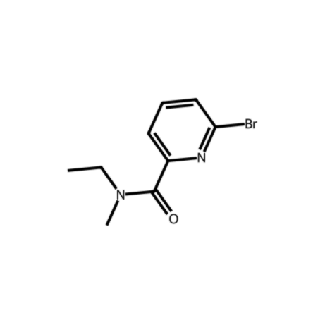 CCN(C)C(=O)c1cccc(Br)n1